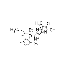 CCC(Oc1cc(F)ccc1C(=O)N1Cc2nn3c(C)c(Cl)c(C)nc3c2C1)C1CCC(C)C1